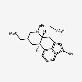 CCCN1C[C@H](CSC)C[C@@H]2c3cccc4c3c(cn4C(C)C)C[C@H]21.CS(=O)(=O)O